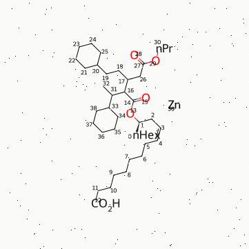 CCCCCC[C@H](C/C=C\CCCCCCCC(=O)O)OC(=O)C(C(CCC1CCCCC1)CC(=O)OCCC)C(C)C1CCCCC1.[Zn]